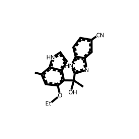 CCOc1cc(C)c2[nH]ccc2c1C(C)(O)c1nc2cc(C#N)ccc2[nH]1